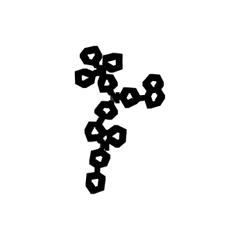 c1ccc(-c2ccc(-n3c4ccccc4c4c(-c5ccc(N(c6ccc(-c7cccc8ccccc78)cc6)c6ccc([Si](c7ccccc7)(c7ccccc7)c7ccccc7)cc6)cc5)cccc43)cc2)cc1